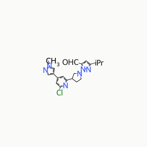 CC(C)c1cc(C=O)n(N2CCC(c3cc(-c4cnn(C)c4)cc(Cl)n3)C2)n1